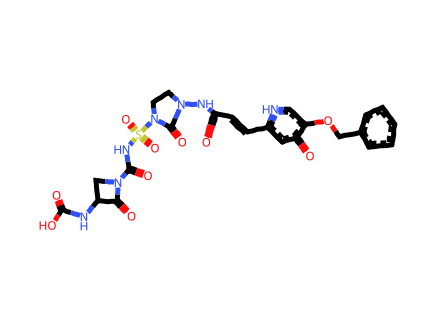 O=C(O)NC1CN(C(=O)NS(=O)(=O)N2CCN(NC(=O)C=Cc3cc(=O)c(OCc4ccccc4)c[nH]3)C2=O)C1=O